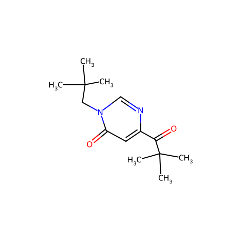 CC(C)(C)Cn1cnc(C(=O)C(C)(C)C)cc1=O